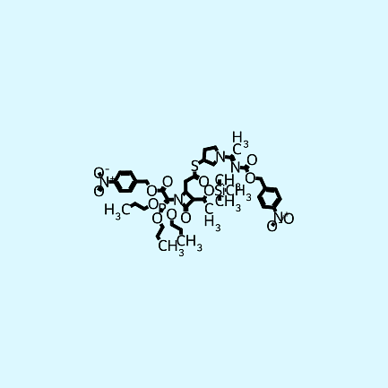 CCCOP(OCCC)(OCCC)=C(C(=O)OCc1ccc([N+](=O)[O-])cc1)N1C(=O)C(C(C)O[Si](C)(C)C)C1CC(=O)SC1CCN(C(C)=NC(=O)OCc2ccc([N+](=O)[O-])cc2)C1